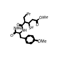 CNC(=O)C(Cc1ccc(OC)cc1)NC(=O)C(CC(C)C)C(S)CC(=O)OC